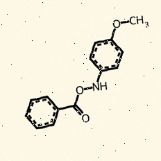 COc1ccc(NOC(=O)c2ccccc2)cc1